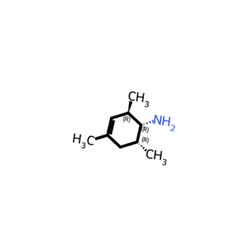 CC1=C[C@@H](C)[C@H](N)[C@H](C)C1